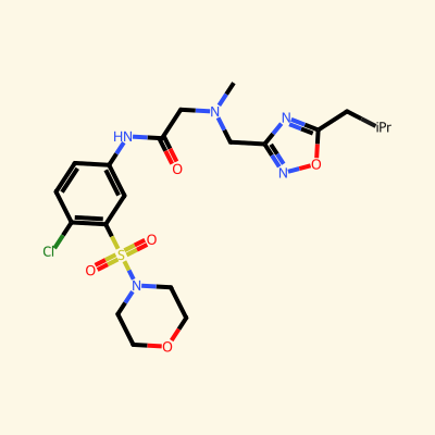 CC(C)Cc1nc(CN(C)CC(=O)Nc2ccc(Cl)c(S(=O)(=O)N3CCOCC3)c2)no1